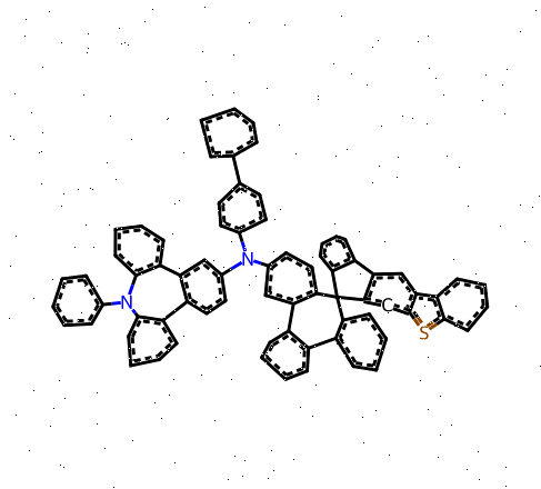 c1ccc(-c2ccc(N(c3ccc4c(c3)-c3ccccc3N(c3ccccc3)c3ccccc3-4)c3ccc4c(c3)-c3ccccc3-c3ccccc3C43c4ccccc4-c4cc5c(cc43)sc3ccccc35)cc2)cc1